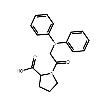 O=C(O)C1CCCN1C(=O)CN(c1ccccc1)c1ccccc1